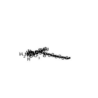 C#CCOCCOCCOCCOCCOCCOCCNC(=O)CC[C@@H](OC(=O)c1ccc(N(Cc2cnc3nc(N)[nH]c(=O)c3n2)C(=O)C(F)(F)F)cc1)C(=O)OC(C)(C)C